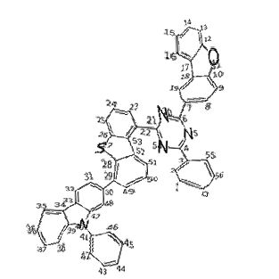 c1ccc(-c2nc(-c3ccc4oc5ccccc5c4c3)nc(-c3cccc4sc5c(-c6ccc7c8ccccc8n(-c8ccccc8)c7c6)cccc5c34)n2)cc1